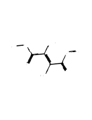 CCCCCCCCC(C(=O)OCCC)=C(CCCC)C(=O)OCCC